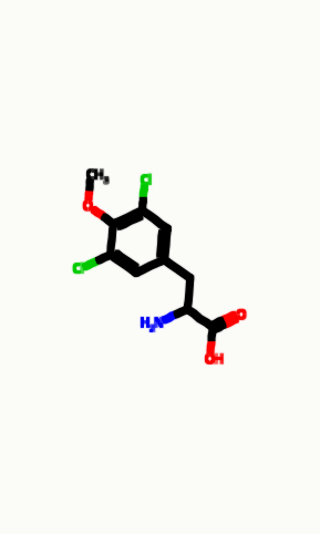 COc1c(Cl)cc(CC(N)C(=O)O)cc1Cl